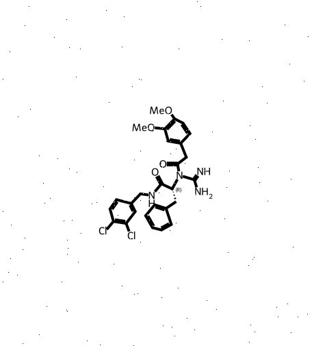 COc1ccc(CC(=O)N(C(=N)N)[C@H](Cc2ccccc2)C(=O)NCc2ccc(Cl)c(Cl)c2)cc1OC